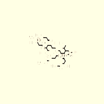 CC[C@H](CC(=O)NC1C(OCC2OC(C)C(NC(=O)C[C@H](O)OOC)C(OC(=O)C[C@@H](C)O)C2O)OC(CO)C(CP(=O)(O)O)C1OC(=O)C[C@@H](C)OC(=O)C(C)(C)C)OC(=O)OC